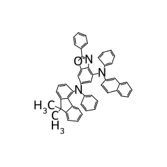 CC1(C)c2ccccc2-c2c(N(c3ccccc3)c3cc(N(c4ccccc4)c4ccc5ccccc5c4)c4nc(-c5ccccc5)oc4c3)cccc21